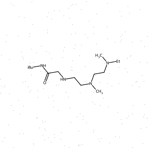 CCC(C)NC(=O)CNCCN(C)CCN(C)CC